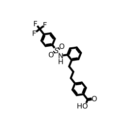 O=C(O)c1ccc(CCCc2ccccc2NS(=O)(=O)c2ccc(C(F)(F)F)cc2)cc1